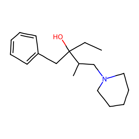 CCC(O)(Cc1ccccc1)C(C)CN1CCCCC1